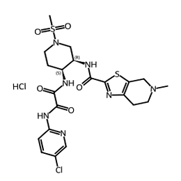 CN1CCc2nc(C(=O)N[C@@H]3CN(S(C)(=O)=O)CC[C@@H]3NC(=O)C(=O)Nc3ccc(Cl)cn3)sc2C1.Cl